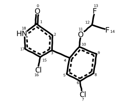 O=c1cc(-c2cc(Cl)ccc2OC(F)F)c(Cl)c[nH]1